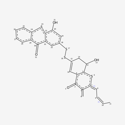 C=c1c(=O)c2c(s/c1=C/C=C\C)C(O)CC(SSc1cc(O)c3sc4ccccc4c(=O)c3c1)=C2